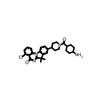 CC1(C)c2cc(C3CCN(C(=O)C4CCC(N)CC4)CC3)ccc2-n2c1nc(=O)c1c(Cl)cccc12